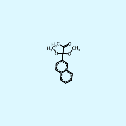 COC(OC)(C(C)=O)c1ccc2ccccc2c1